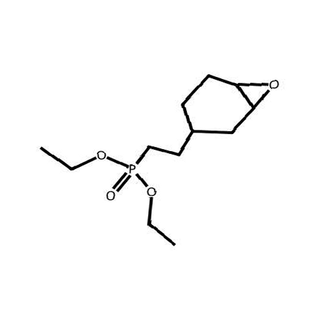 CCOP(=O)(CCC1CCC2OC2C1)OCC